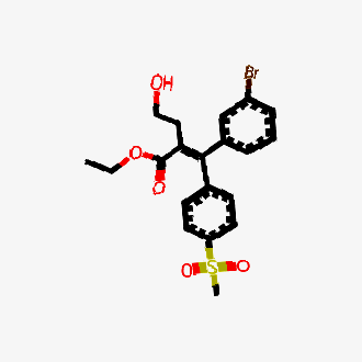 CCOC(=O)C(CCO)=C(c1ccc(S(C)(=O)=O)cc1)c1cccc(Br)c1